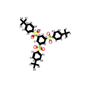 CC(C)(C)c1ccc(S(=O)(=O)c2cc(S(=O)(=O)c3ccc(C(C)(C)C)cc3)cc(S(=O)(=O)c3ccc(C(C)(C)C)cc3)c2)cc1